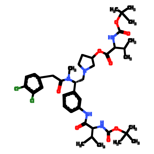 CC(C)C(NC(=O)OC(C)(C)C)C(=O)Nc1cccc([C@@H](CN2CCC(OC(=O)C(NC(=O)OC(C)(C)C)C(C)C)C2)N(C)C(=O)Cc2ccc(Cl)c(Cl)c2)c1